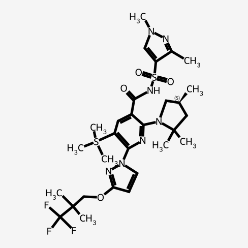 Cc1nn(C)cc1S(=O)(=O)NC(=O)c1cc(S(C)(C)C)c(-n2ccc(OCC(C)(C)C(F)(F)F)n2)nc1N1C[C@@H](C)CC1(C)C